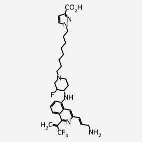 C=C(c1nc(/C=C/CN)cc2c(N[C@@H]3CCN(CCCCCCCCn4ccc(C(=O)O)n4)C[C@@H]3F)cccc12)C(F)(F)F